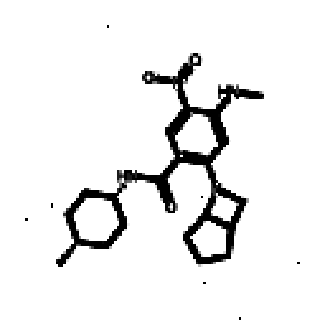 CNc1cc(N2CC3CCCC32)c(C(=O)N[C@H]2CC[C@H](C)CC2)cc1[N+](=O)[O-]